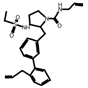 C=CCNC(=O)N1CCC(NS(=O)(=O)CC)C1Cc1cccc(-c2ccccc2CC=C)c1